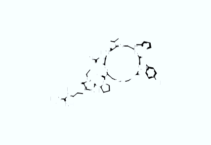 CCNC(=O)[C@@H](CCCNC(=N)N)NC(=O)[C@@H]1CCCN1C(=O)[C@@H]1CSSCCC(=O)N[C@@H](Cc2ccc(Cl)cc2)C(=O)N[C@@H](Cc2cccs2)C(=O)N[C@@H](C(C)C)C(=O)N[C@@H](CC(N)=O)C(=O)N1